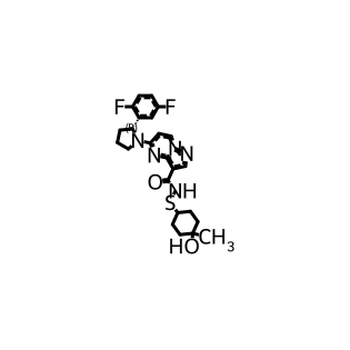 CC1(O)CCC(SNC(=O)c2cnn3ccc(N4CCC[C@@H]4c4cc(F)ccc4F)nc23)CC1